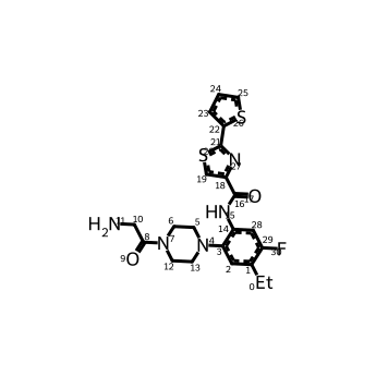 CCc1cc(N2CCN(C(=O)CN)CC2)c(NC(=O)c2csc(-c3cccs3)n2)cc1F